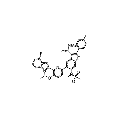 CNC(=O)c1c(-c2ccc(C)cc2)oc2cc(N(C)S(C)(=O)=O)c(-c3ccc4c(n3)-c3cc5c(F)cccc5n3C(C)O4)cc12